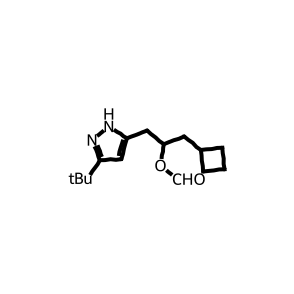 CC(C)(C)c1cc(CC(CC2CCC2)OC=O)[nH]n1